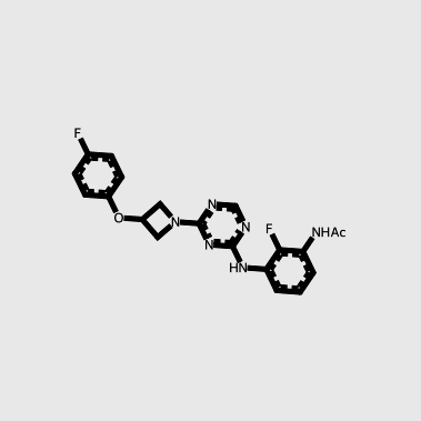 CC(=O)Nc1cccc(Nc2ncnc(N3CC(Oc4ccc(F)cc4)C3)n2)c1F